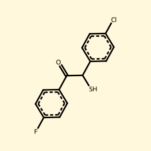 O=C(c1ccc(F)cc1)C(S)c1ccc(Cl)cc1